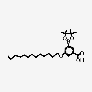 CCCCCCCCCCCCCOc1cc(B2OC(C)(C)C(C)(C)O2)cc(C(=O)O)c1